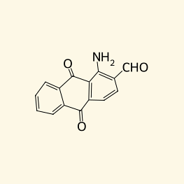 Nc1c(C=O)ccc2c1C(=O)c1ccccc1C2=O